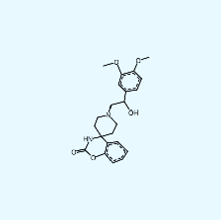 COc1ccc(C(O)CN2CCC3(CC2)NC(=O)Oc2ccccc23)cc1OC